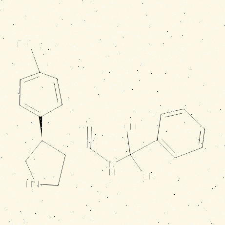 CC(C)(NC(=O)[C@@H]1CNC[C@H]1c1ccc(C(F)(F)F)cc1)c1ccccc1